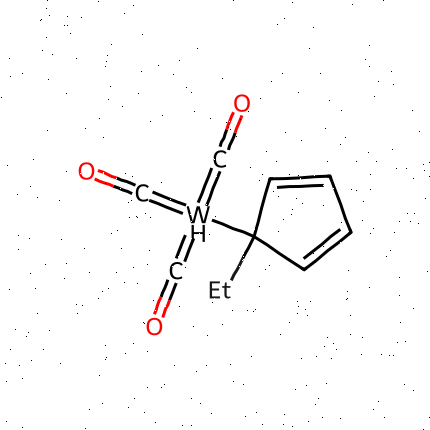 CC[C]1([WH](=[C]=O)(=[C]=O)=[C]=O)C=CC=C1